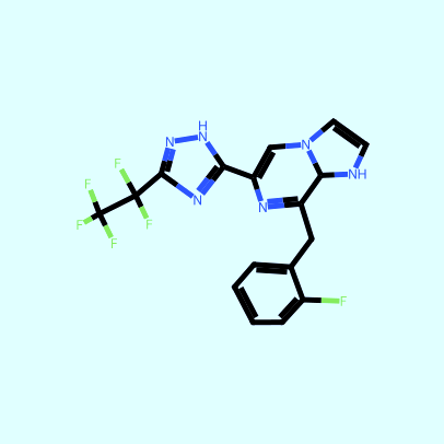 Fc1ccccc1CC1=NC(c2nc(C(F)(F)C(F)(F)F)n[nH]2)=CN2C=CNC12